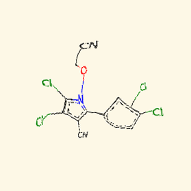 N#CCOn1c(Cl)c(Cl)c(C#N)c1-c1ccc(Cl)c(Cl)c1